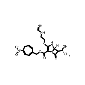 C[C@@H](O)C1C(=O)N2C(C(=O)OCC3=CC=C([N+](=O)[O-])CC=C3)=C(SCCNC=N)N[C@H]12